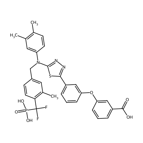 Cc1ccc(N(Cc2ccc(C(F)(F)P(=O)(O)O)c(C)c2)c2nnc(-c3cccc(Oc4cccc(C(=O)O)c4)c3)s2)cc1C